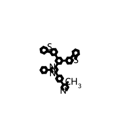 Cc1ccncc1-c1ccc(-c2cc(-c3cc(-c4ccc5sc6ccccc6c5c4)cc(-c4ccc5sc6ccccc6c5c4)c3)nc(-c3ccccc3)n2)cc1